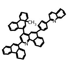 CC12C=CC=CC1c1ccccc1C(c1cc(-c3cc4ccccc4c4ccccc34)nc3c1cc(-c1ccc(-c4ccc5ccccc5n4)cc1)c1ccccc13)=C2